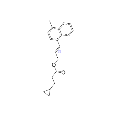 Cc1ccc(/C=C/COC(=O)CCC2CC2)c2ccccc12